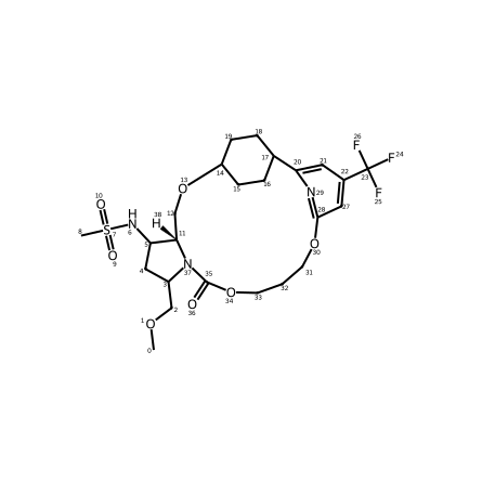 COCC1CC(NS(C)(=O)=O)[C@@H]2COC3CCC(CC3)c3cc(C(F)(F)F)cc(n3)OCCCOC(=O)N12